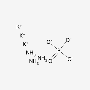 N.N.N.O=P([O-])([O-])[O-].[K+].[K+].[K+]